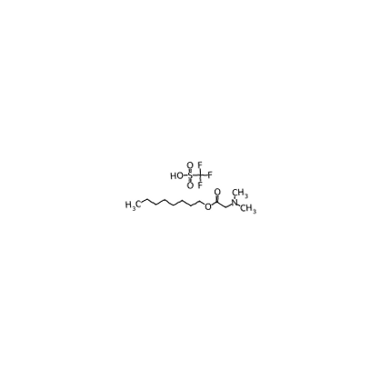 CCCCCCCCOC(=O)CN(C)C.O=S(=O)(O)C(F)(F)F